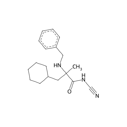 CC(CC1CCCCC1)(NCc1ccccc1)C(=O)NC#N